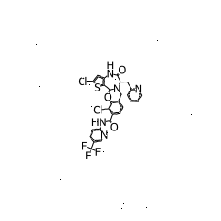 O=C(Nc1ccc(C(F)(F)F)cn1)c1ccc(CN2C(=O)c3sc(Cl)cc3NC(=O)C2Cc2ccccn2)cc1Cl